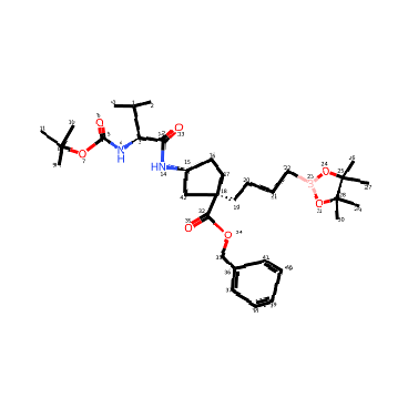 CC(C)[C@H](NC(=O)OC(C)(C)C)C(=O)N[C@H]1CC[C@@](CCCCB2OC(C)(C)C(C)(C)O2)(C(=O)OCc2ccccc2)C1